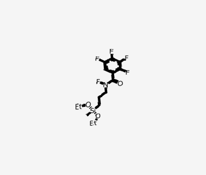 CCO[Si](C)(CCCN(F)C(=O)c1cc(F)c(F)c(F)c1F)OCC